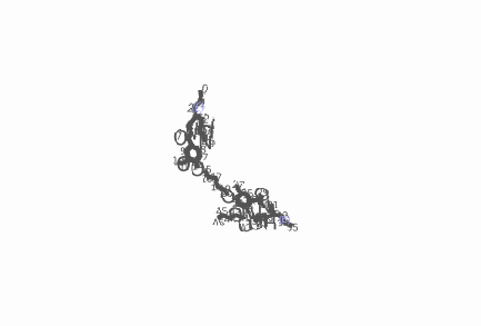 C/C=C/C1=CN2C(=O)c3cc(OC)c(OCCCCCOc4cc5c(cc4C)C(=O)N4C=C(/C=C/C)C[C@H]4C(O)N5C(=O)OCCC)cc3N=C[C@@H]2C1